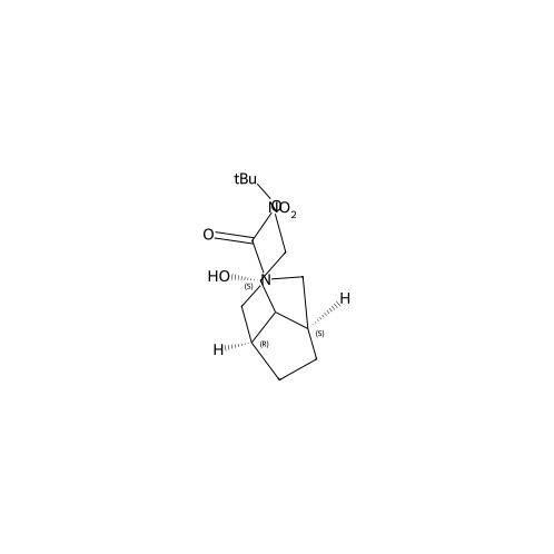 CC(C)(C)OC(=O)N1C[C@H]2CC[C@@H](C1)C2[C@H](O)C[N+](=O)[O-]